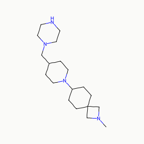 CN1CC2(CCC(N3CCC(CN4CCNCC4)CC3)CC2)C1